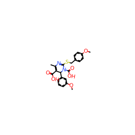 COc1ccc(CSC2=NC(C)=C(C(=O)O)C(c3cccc(OC)c3)N2C(=O)O)cc1